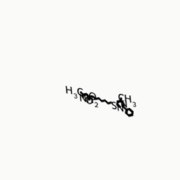 CC(N)=CC(=O)OCCCCCCSc1cc(C)nc(-c2ccccc2)n1